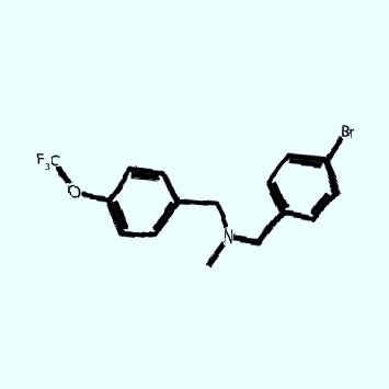 CN(Cc1ccc(Br)cc1)Cc1ccc(OC(F)(F)F)cc1